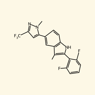 Cc1c(-c2c(F)cccc2F)[nH]c2ccc(-c3cc(C(F)(F)F)nn3C)cc12